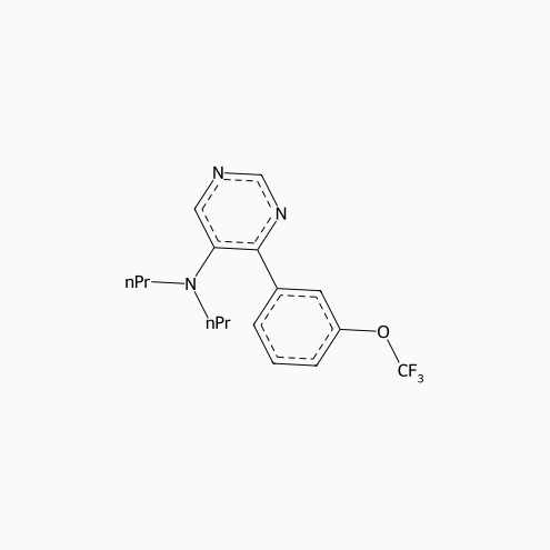 CCCN(CCC)c1cncnc1-c1cccc(OC(F)(F)F)c1